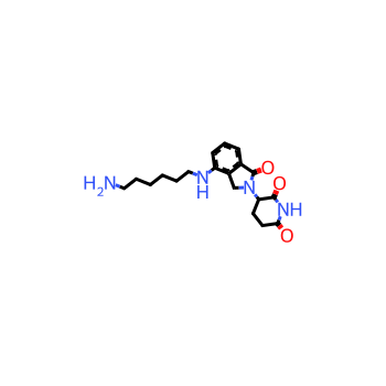 NCCCCCCNc1cccc2c1CN(C1CCC(=O)NC1=O)C2=O